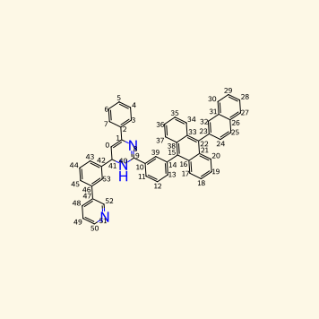 C1=C(c2ccccc2)N=C(c2cccc(-c3c4ccccc4c(-c4ccc5ccccc5c4)c4ccccc34)c2)NC1c1cccc(-c2cccnc2)c1